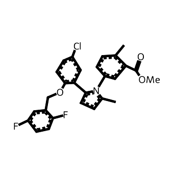 COC(=O)c1cc(-n2c(C)ccc2-c2cc(Cl)ccc2OCc2cc(F)ccc2F)ccc1C